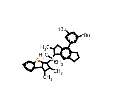 CC1Cc2c(cc3c(c2-c2cc(C(C)(C)C)cc(C(C)(C)C)c2)CCC3)C1[Si](C)(C)C1C(C)C(C)C2c3ccccc3SC21